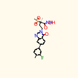 Cc1ccc(-c2ccc3c(=O)n(CC[C@](C)(C(=O)NO)S(C)(=O)=O)cnc3c2)cc1F